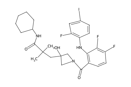 CC(C)(CC1(O)CN(C(=O)c2ccc(F)c(F)c2Nc2ccc(I)cc2F)C1)C(=O)NC1CCCCC1